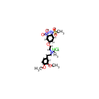 COc1ccc(CCN(C)CCOc2ccc(NS(C)(=O)=O)c([N+](=O)[O-])c2)cc1OC.Cl